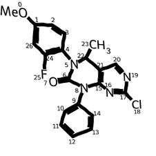 COc1ccc(N2C(=O)N(c3ccccc3)c3nc(Cl)ncc3C2C)c(F)c1